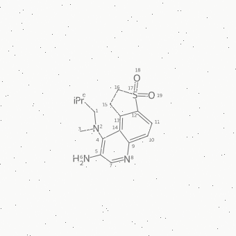 CC(C)CN(C)c1c(N)cnc2ccc3c(c12)CCS3(=O)=O